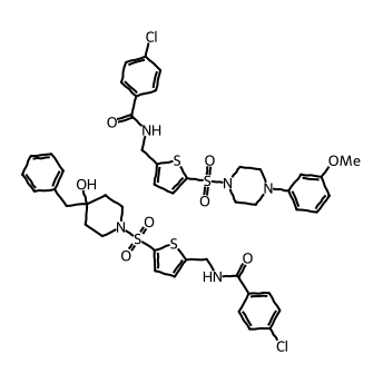 COc1cccc(N2CCN(S(=O)(=O)c3ccc(CNC(=O)c4ccc(Cl)cc4)s3)CC2)c1.O=C(NCc1ccc(S(=O)(=O)N2CCC(O)(Cc3ccccc3)CC2)s1)c1ccc(Cl)cc1